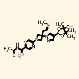 C/N=C\CC1(n2cc(B3OC(C)(C)C(C)(C)O3)cn2)CN(c2cnc(C(=O)N[C@@H](C)C(F)(F)F)cn2)C1